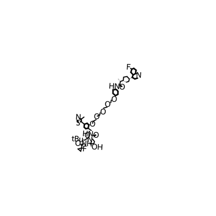 Cc1ncsc1-c1ccc(CNC(=O)[C@@H]2C[C@@H](O)CN2C(=O)[C@@H](NC(=O)C2(F)CC2)C(C)(C)C)c(OCCOCCOCCOCCOc2ccc(NC(=O)[C@H](C)[C@H]3CC[C@@H](c4ccnc5ccc(F)cc54)CC3)cc2)c1